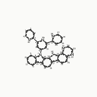 c1ccc(-c2cc(-n3c4ccccc4c4ccc5c6ccc7nccnc7c6sc5c43)cc(-c3ccccn3)n2)nc1